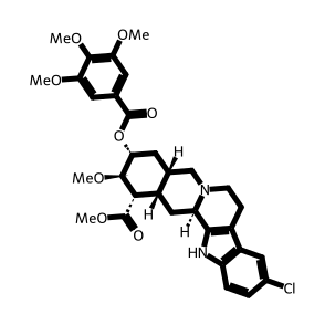 COC(=O)[C@H]1[C@H]2C[C@@H]3c4[nH]c5ccc(Cl)cc5c4CCN3C[C@H]2C[C@@H](OC(=O)c2cc(OC)c(OC)c(OC)c2)[C@@H]1OC